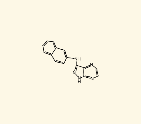 c1ccc2cc(Nc3n[nH]c4nccnc34)ccc2c1